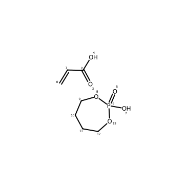 C=CC(=O)O.O=P1(O)OCCCCO1